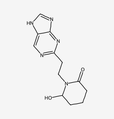 O=C1CCCC(O)N1CCc1ncc2[nH]cnc2n1